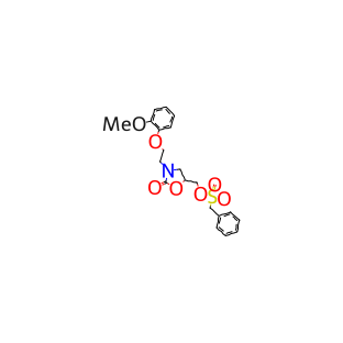 COc1ccccc1OCCN1CC(COS(=O)(=O)Cc2ccccc2)OC1=O